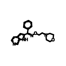 c1ccc(/C(=N\OCCN2CCOCC2)c2cc3ccncc3[nH]2)cc1